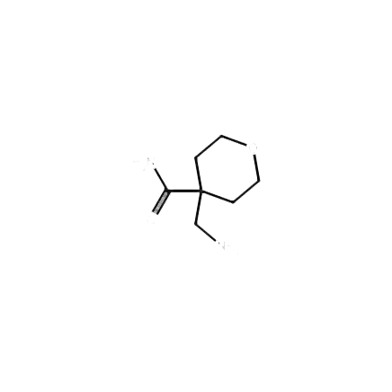 NCC1(C(N)=O)CCOCC1